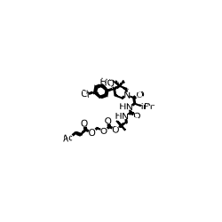 CC(=O)/C=C/C(=O)OCOC(=O)OC(C)(C)CNC(=O)NC(C(=O)N1CC[C@](O)(c2ccc(Cl)cc2)C(C)(C)C1)C(C)C